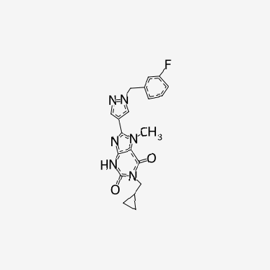 Cn1c(-c2cnn(Cc3cccc(F)c3)c2)nc2[nH]c(=O)n(CC3CC3)c(=O)c21